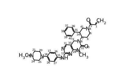 C=CC(=O)N1CCC(N2Cc3cnc(Nc4ccc(N5CCN(C)CC5)cc4)nc3N(C)C2=O)C(c2ccccc2)C1